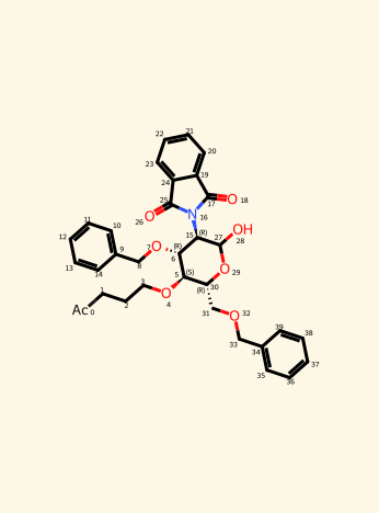 CC(=O)CCCO[C@H]1[C@H](OCc2ccccc2)[C@@H](N2C(=O)c3ccccc3C2=O)C(O)O[C@@H]1COCc1ccccc1